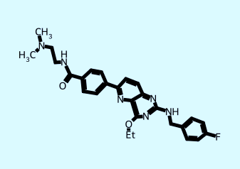 CCOc1nc(NCc2ccc(F)cc2)nc2ccc(-c3ccc(C(=O)NCCN(C)C)cc3)nc12